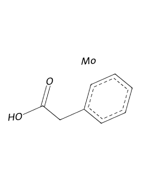 O=C(O)Cc1ccccc1.[Mo]